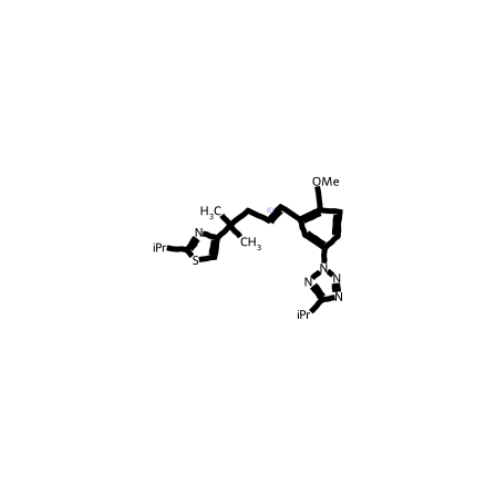 COc1ccc(-n2nnc(C(C)C)n2)cc1/C=C/CC(C)(C)c1csc(C(C)C)n1